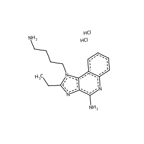 CCc1nc2c(N)nc3ccccc3c2n1CCCCN.Cl.Cl